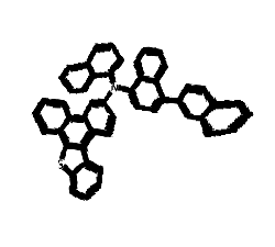 c1ccc2cc(-c3ccc(N(c4ccc5c(c4)c4ccccc4c4sc6ccccc6c54)c4cccc5ccccc45)c4ccccc34)ccc2c1